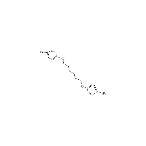 CC(C)c1ccc(OCCCCCCOc2ccc(C(C)C)cc2)cc1